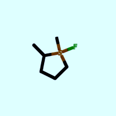 CC1CCCS1(C)F